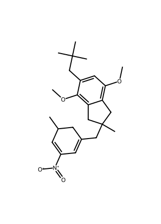 COc1cc(CC(C)(C)C)c(OC)c2c1CC(C)(CC1=CC([N+](=O)[O-])=CC(C)C1)C2